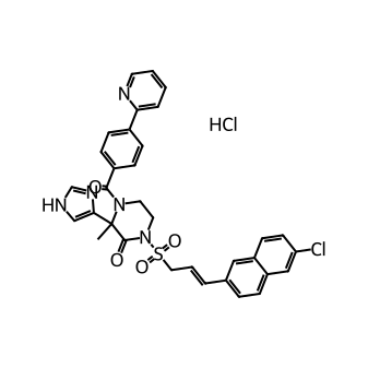 CC1(c2c[nH]cn2)C(=O)N(S(=O)(=O)CC=Cc2ccc3cc(Cl)ccc3c2)CCN1C(=O)c1ccc(-c2ccccn2)cc1.Cl